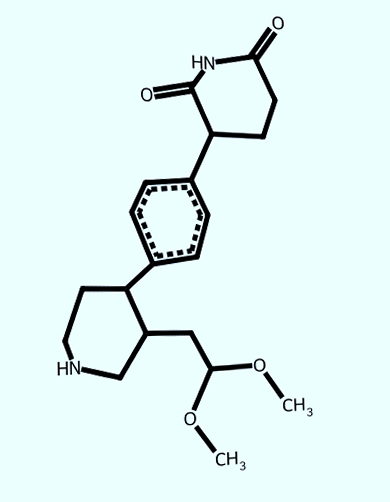 COC(CC1CNCCC1c1ccc(C2CCC(=O)NC2=O)cc1)OC